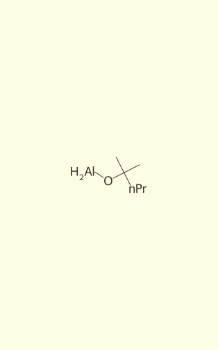 CCCC(C)(C)[O][AlH2]